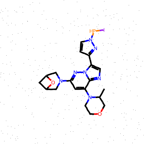 CC1COCCN1c1cc(N2CC3CC(C2)O3)nn2c(-c3ccn(PI)n3)cnc12